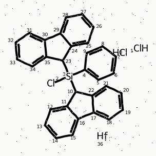 Cl.Cl.Cl[Si](c1ccccc1)(C1c2ccccc2-c2ccccc21)C1c2ccccc2-c2ccccc21.[Hf]